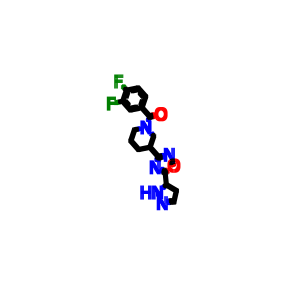 O=C(c1ccc(F)c(F)c1)N1CCCC(c2noc(C3CC=NN3)n2)C1